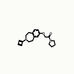 O=C(COc1ccc2c(c1)CCN(C1=CC=C1)CC2)N1CCCC1